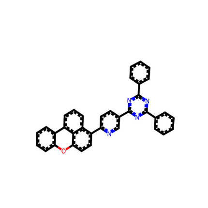 c1ccc(-c2nc(-c3ccccc3)nc(-c3ccc(-c4ccc5c6c(cccc46)-c4ccccc4O5)nc3)n2)cc1